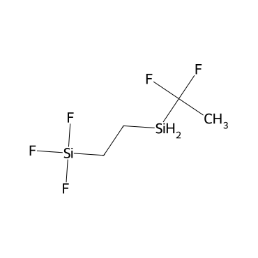 CC(F)(F)[SiH2]CC[Si](F)(F)F